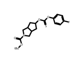 CC(C)(C)OC(=O)N1CC2CC(OC(=S)Oc3ccc(F)cc3)CC2C1